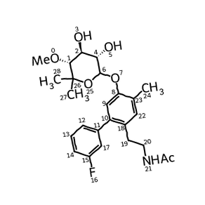 CO[C@@H]1[C@@H](O)[C@H](O)C(Oc2cc(-c3cccc(F)c3)c(CCNC(C)=O)cc2C)OC1(C)C